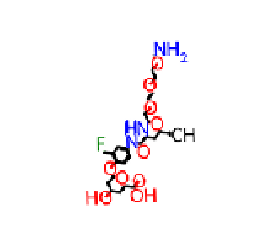 C#CCCC(NC(=O)COCCOCCOCN)C(=O)Nc1ccc(OC2CC(O)CC(C(=O)O)O2)c(CF)c1